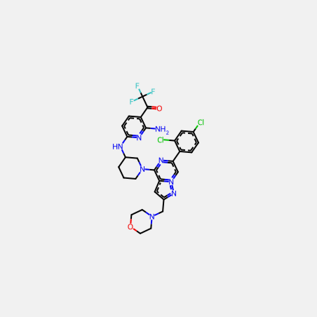 Nc1nc(NC2CCCN(c3nc(-c4ccc(Cl)cc4Cl)cn4nc(CN5CCOCC5)cc34)C2)ccc1C(=O)C(F)(F)F